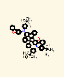 CC(C)(C)c1ccc(N(c2ccc3oc4ccccc4c3c2)c2ccc3c4c(c5ccccc5c3c2)-c2c(cc(N(c3ccc(C(C)(C)C)cc3)c3ccc(C(C)(C)C)cc3)c3c2oc2ccccc23)C4(c2ccccc2)c2ccccc2)cc1